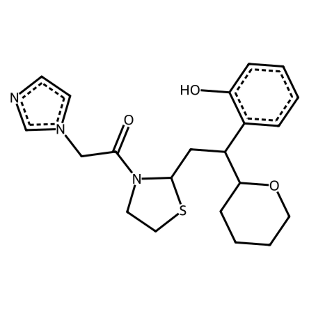 O=C(Cn1ccnc1)N1CCSC1CC(c1ccccc1O)C1CCCCO1